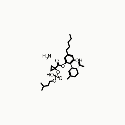 C=C(C)[C@@H]1CCC(C)=C[C@H]1c1c(O)cc(CCCCC)cc1OC(=O)C1(OP(=O)(O)OCCC(C)C)CC1.N